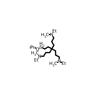 CCN(C)CCCC(CCCN(C)CC)(CCCN(C)CC)CC[SiH2]OC(C)C